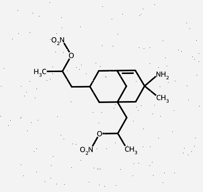 CC(CC1CC2=CC(C)(N)CC(CC(C)O[N+](=O)[O-])(C2)C1)O[N+](=O)[O-]